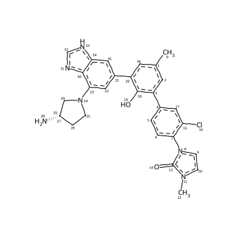 Cc1cc(-c2ccc(-n3ccn(C)c3=O)c(Cl)c2)c(O)c(-c2cc(N3CC[C@H](N)C3)c3nc[nH]c3c2)c1